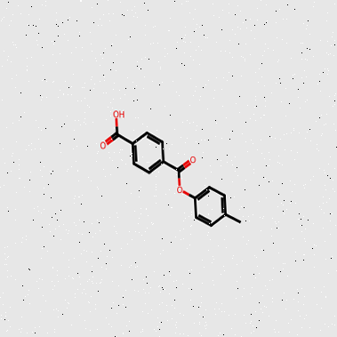 Cc1ccc(OC(=O)c2ccc(C(=O)O)cc2)cc1